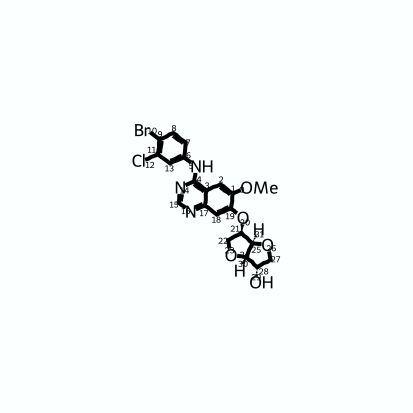 COc1cc2c(Nc3ccc(Br)c(Cl)c3)ncnc2cc1O[C@@H]1CO[C@@H]2[C@@H]1OC[C@@H]2O